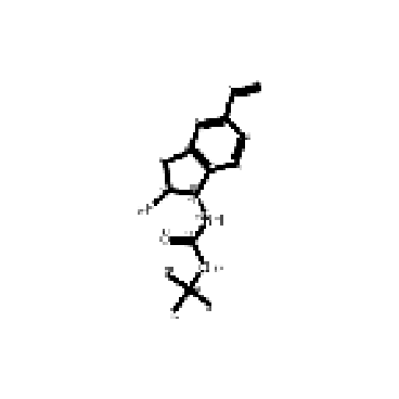 C=Cc1ccc2c(c1)CC(F)[C@@H]2NC(=O)OC(C)(C)C